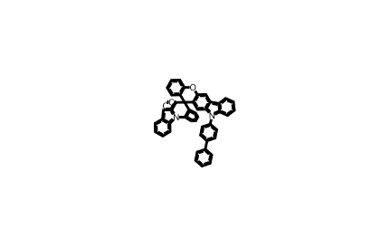 c1ccc(-c2ccc(-n3c4ccccc4c4cc5c(cc43)C3(c4ccccc4O5)c4ccccc4-n4c5ccccc5c5cccc3c54)cc2)cc1